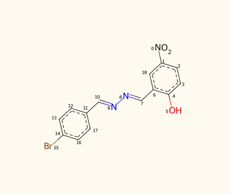 O=[N+]([O-])c1ccc(O)c(/C=N/N=C/c2ccc(Br)cc2)c1